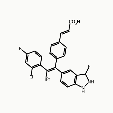 CC(C)/C(=C(/c1ccc(/C=C/C(=O)O)cc1)c1ccc2c(c1)C(F)NN2)c1ccc(F)cc1Cl